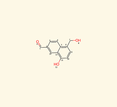 O=Cc1ccc2c(CO)ccc(O)c2c1